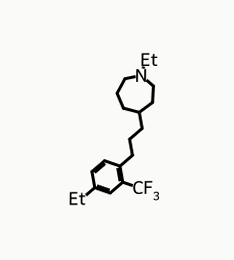 CCc1ccc(CCCC2CCCN(CC)CC2)c(C(F)(F)F)c1